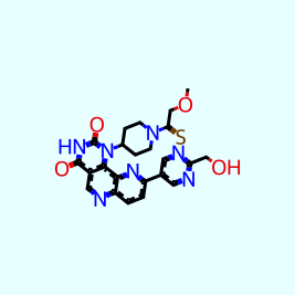 COCC(=S)N1CCC(n2c(=O)[nH]c(=O)c3cnc4ccc(-c5cnc(CO)nc5)nc4c32)CC1